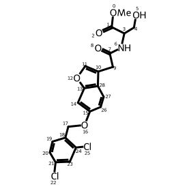 COC(=O)C(CO)NC(=O)Cc1coc2cc(OCc3ccc(Cl)cc3Cl)ccc12